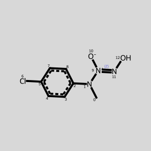 CN(c1ccc(Cl)cc1)/[N+]([O-])=N/O